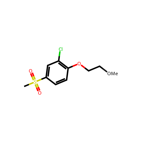 COCCOc1ccc(S(C)(=O)=O)cc1Cl